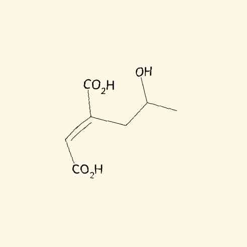 CC(O)CC(=CC(=O)O)C(=O)O